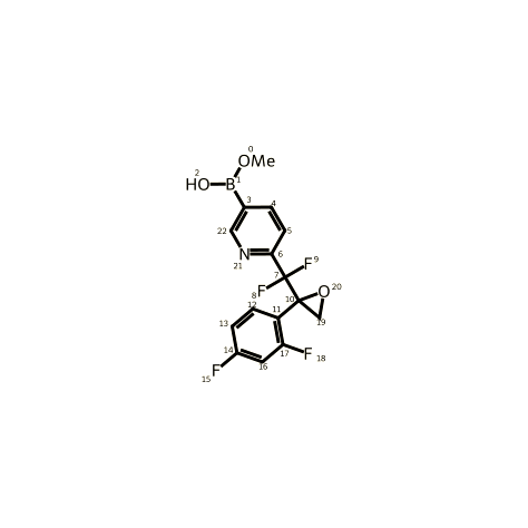 COB(O)c1ccc(C(F)(F)C2(c3ccc(F)cc3F)CO2)nc1